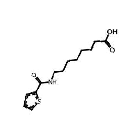 O=C(O)CCCCCCCNC(=O)c1cccs1